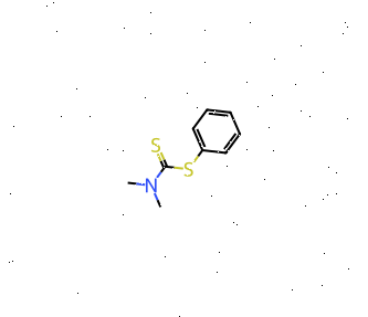 CN(C)C(=S)Sc1ccccc1